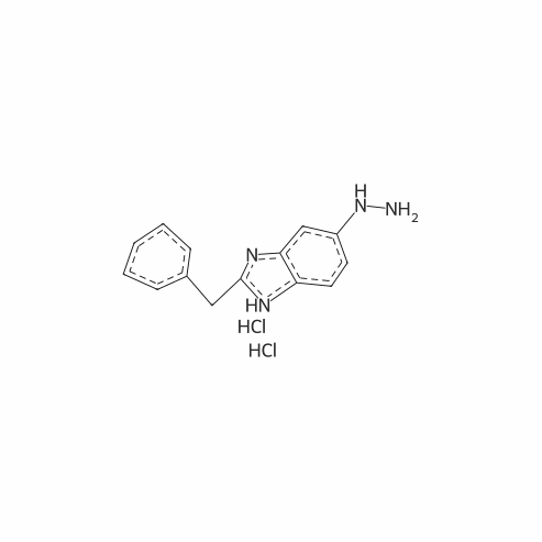 Cl.Cl.NNc1ccc2[nH]c(Cc3ccccc3)nc2c1